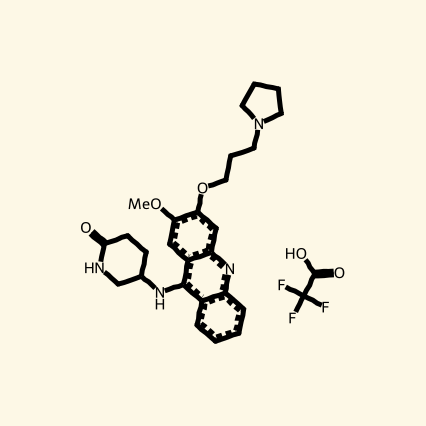 COc1cc2c(NC3CCC(=O)NC3)c3ccccc3nc2cc1OCCCN1CCCC1.O=C(O)C(F)(F)F